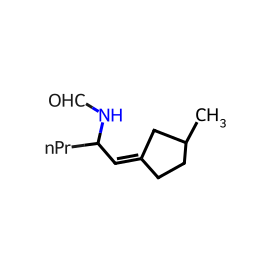 CCCC(/C=C1/CCC(C)C1)NC=O